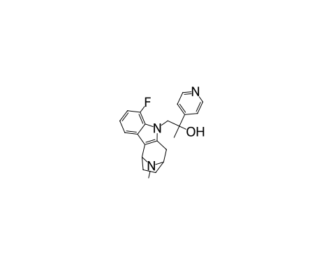 CN1C2CCC1c1c(n(CC(C)(O)c3ccncc3)c3c(F)cccc13)C2